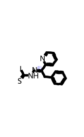 S=C(I)N/N=C(\Cc1ccccc1)c1ccccn1